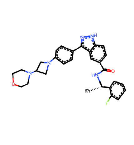 CC(C)[C@H](NC(=O)c1ccc2[nH]nc(-c3ccc(N4CC(N5CCOCC5)C4)cc3)c2c1)c1ccccc1F